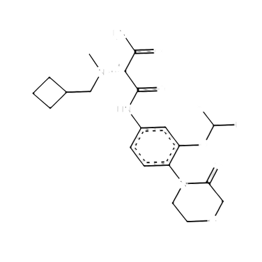 CN(CC1CCC1)[C@H](C(N)=O)C(=O)Nc1ccc(N2CCOCC2=O)c(OC(F)F)c1